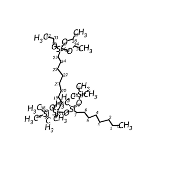 CCCCCCCC[Si](C)(O[Si](C)(C)C)O[Si](C)(CCCCCCCC[Si](OCC)(OCC)OCC)O[Si](C)(C)C